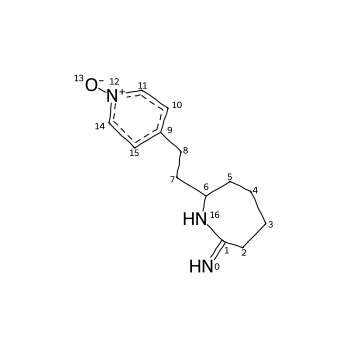 N=C1CCCCC(CCc2cc[n+]([O-])cc2)N1